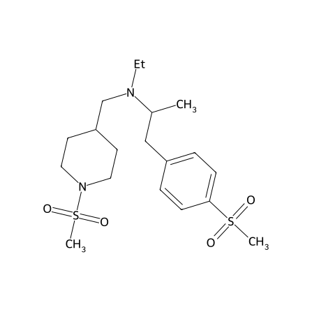 CCN(CC1CCN(S(C)(=O)=O)CC1)C(C)Cc1ccc(S(C)(=O)=O)cc1